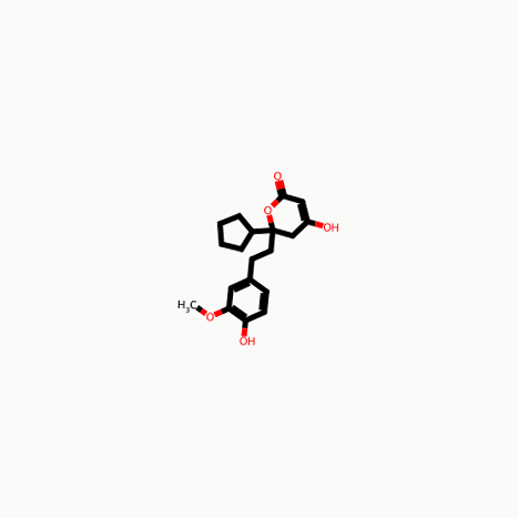 COc1cc(CCC2(C3CCCC3)CC(O)=CC(=O)O2)ccc1O